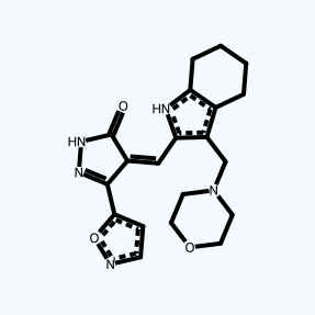 O=C1NN=C(c2ccno2)C1=Cc1[nH]c2c(c1CN1CCOCC1)CCCC2